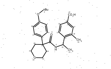 CCCCOc1ccc(C2(C(=O)NC(C)c3ccc(C(=O)O)cc3C)CCOCC2)cc1